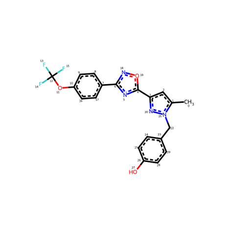 Cc1cc(-c2nc(-c3ccc(OC(F)(F)F)cc3)no2)nn1Cc1ccc(O)cc1